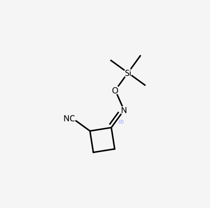 C[Si](C)(C)O/N=C1/CCC1C#N